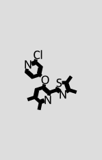 Cc1cc(Oc2ccnc(Cl)c2)c(-c2nc(C)c(C)s2)nc1C